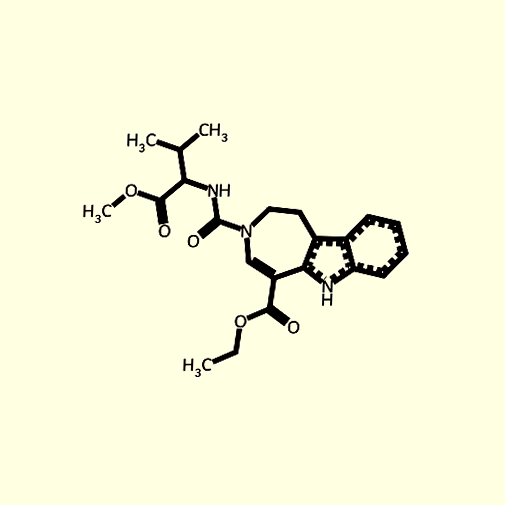 CCOC(=O)C1=CN(C(=O)NC(C(=O)OC)C(C)C)CCc2c1[nH]c1ccccc21